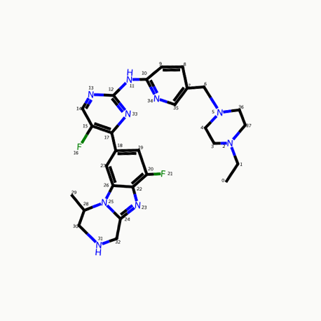 CCN1CCN(Cc2ccc(Nc3ncc(F)c(-c4cc(F)c5nc6n(c5c4)C(C)CNC6)n3)nc2)CC1